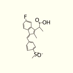 CC1=C(C(C)C(=O)O)c2cc(F)ccc2/C1=C/c1ccc([S+](C)[O-])cc1